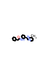 Cc1cccn2cc(-c3cccc(NC(=O)Cc4ccccc4)c3)nc12